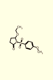 CCOC1CCC(=O)N1S(=O)(=O)c1ccc(OC)cc1